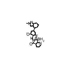 BC1(B)c2ncccc2C(=O)N1Cc1c(F)cc(-c2cccc3nn(C)cc23)cc1OC